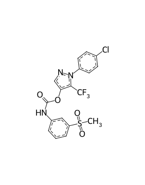 CS(=O)(=O)c1cccc(NC(=O)Oc2cnn(-c3ccc(Cl)cc3)c2C(F)(F)F)c1